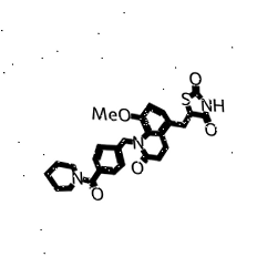 COc1ccc(CC2SC(=O)NC2=O)c2c1N(Cc1ccc(C(=O)N3CCCCC3)cc1)C(=O)CC2